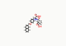 CC1(C(=O)O)CCC(C(=O)N[C@@H](Cc2ccc(OCc3ccc4ccccc4c3)cc2)C(=O)O)C1(C)C